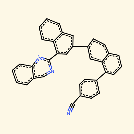 N#Cc1ccc(-c2cccc3ccc(-c4cc(-c5ncc6ccccc6n5)c5ccccc5c4)cc23)cc1